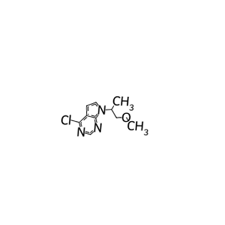 COCC(C)n1ccc2c(Cl)ncnc21